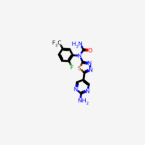 NC(=O)N(c1nnc(-c2cnc(N)nc2)s1)c1cc(C(F)(F)F)ccc1F